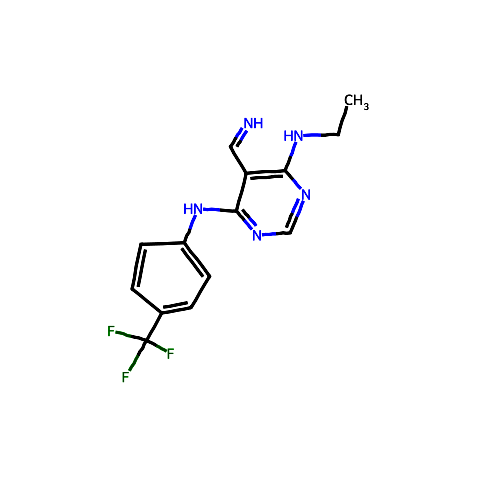 CCNc1ncnc(Nc2ccc(C(F)(F)F)cc2)c1C=N